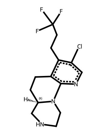 FC(F)(F)CCc1c(Cl)cnc2c1CC[C@@H]1CNCCN21